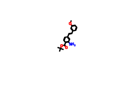 COc1cccc(C=Cc2ccc(C(=O)OC(C)(C)C)c(N)c2)c1